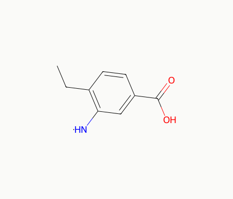 CCc1ccc(C(=O)O)cc1[NH]